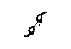 CC=C1CC2CC1C=[C]2[Zn][C]1=CC2CC1CC2=CC